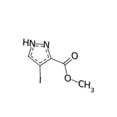 COC(=O)c1n[nH]cc1I